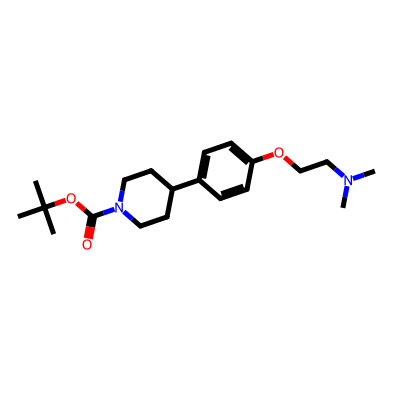 CN(C)CCOc1ccc(C2CCN(C(=O)OC(C)(C)C)CC2)cc1